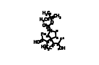 CC(C(O)F)C1(C(C)C(O)F)CCN(C(=O)OC(C)(C)C)C1